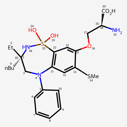 CCCC[C@@]1(CC)CN(c2ccccc2)c2cc(SC)c(OC[C@H](N)C(=O)O)cc2S(O)(O)N1